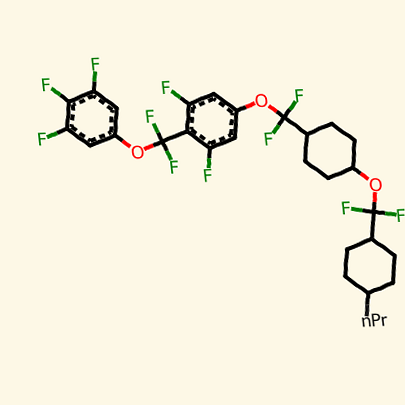 CCCC1CCC(C(F)(F)OC2CCC(C(F)(F)Oc3cc(F)c(C(F)(F)Oc4cc(F)c(F)c(F)c4)c(F)c3)CC2)CC1